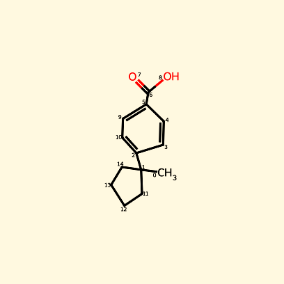 CC1(c2ccc(C(=O)O)cc2)CCCC1